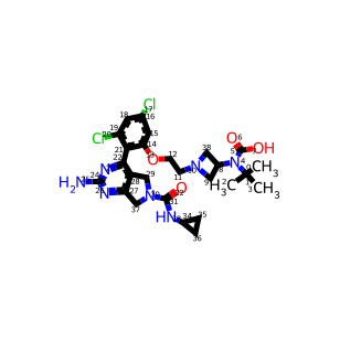 CC(C)(C)N(C(=O)O)C1CN(CCOc2cc(Cl)cc(Cl)c2-c2nc(N)nc3c2CN(C(=O)NC2CC2)C3)C1